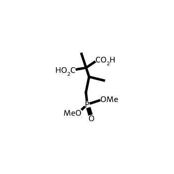 COP(=O)(CC(C)C(C)(C(=O)O)C(=O)O)OC